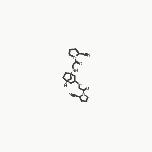 N#CC1CCCN1C(=O)CNC1C[C@@H]2CC[C@@](NCC(=O)N3CCCC3C#N)(C1)C2